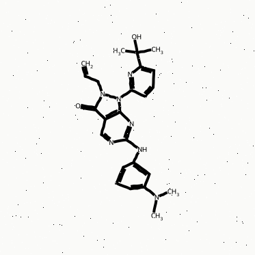 C=CCn1c(=O)c2cnc(Nc3cccc(N(C)C)c3)nc2n1-c1cccc(C(C)(C)O)n1